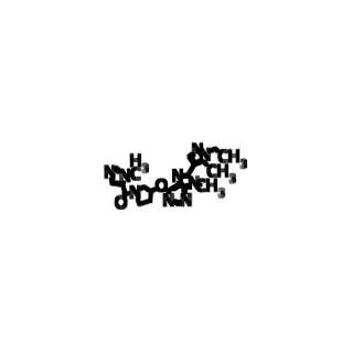 CCn1ncc(-c2nc3c(OC4CCN(C(=O)c5cncn5C)C4)ncnc3n2C)c1C